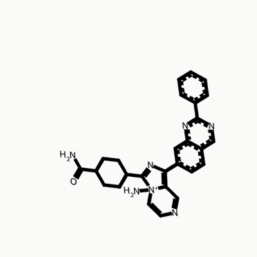 NC(=O)C1CCC(C2=NC(c3ccc4cnc(-c5ccccc5)nc4c3)=C3C=NC=C[N+]23N)CC1